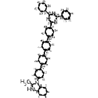 CC1Nc2ccccc2N1c1ccc(-c2ccc(-c3ccc(-c4ccc(-c5nc(-c6ccccc6)nc(-c6ccccc6)n5)cc4)cc3)cc2)cc1